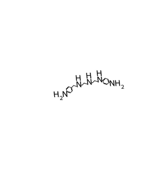 Nc1ccc(CCNCCCNCCCNc2ccc(N)cc2)cc1